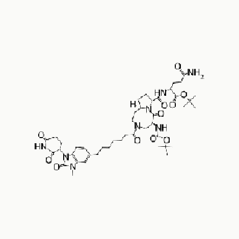 Cn1c(=O)n(C2CCC(=O)NC2=O)c2ccc(CCCCCCC(=O)N3CC[C@H]4CC[C@@H](C(=O)N[C@@H](CCC(N)=O)C(=O)OC(C)(C)C)N4C(=O)[C@@H](NC(=O)OC(C)(C)C)C3)cc21